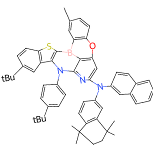 Cc1ccc2c(c1)B1c3sc4ccc(C(C)(C)C)cc4c3N(c3ccc(C(C)(C)C)cc3)c3nc(N(c4ccc5c(c4)C(C)(C)CCC5(C)C)c4ccc5ccccc5c4)cc(c31)O2